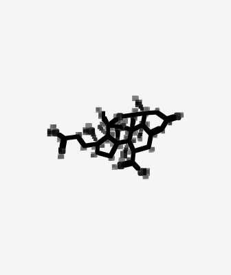 C[C@@]12C3=CC(=O)C[C@@H]1O[C@@H]1C[C@H]2[C@@H](C(C(=O)O)C3)[C@@H]2CC[C@@](O)(CCC(=O)O)[C@@]12C